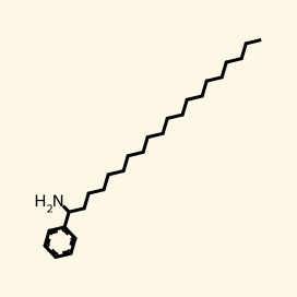 CCCCCCCCCCCCCCCCCCCC(N)c1ccccc1